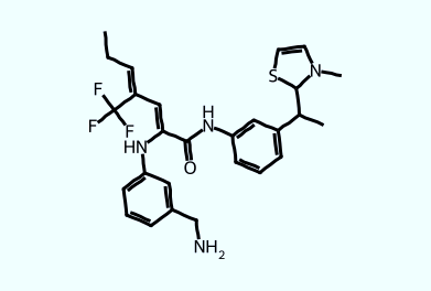 CC/C=C(/C=C(\Nc1cccc(CN)c1)C(=O)Nc1cccc(C(C)C2SC=CN2C)c1)C(F)(F)F